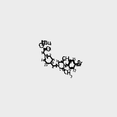 C[C@@H]1CN(CC2CCN(CC(=O)OC(C)(C)C)CC2)C[C@H](C)N1c1ccc(Br)cc1